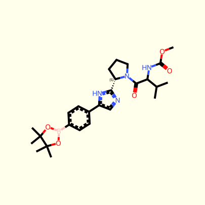 COC(=O)NC(C(=O)N1CCC[C@H]1c1ncc(-c2ccc(B3OC(C)(C)C(C)(C)O3)cc2)[nH]1)C(C)C